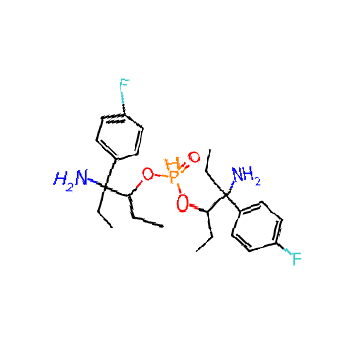 CCC(O[PH](=O)OC(CC)C(N)(CC)c1ccc(F)cc1)C(N)(CC)c1ccc(F)cc1